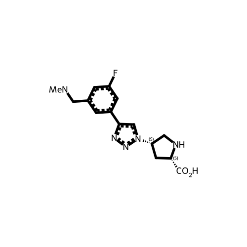 CNCc1cc(F)cc(-c2cn([C@@H]3CN[C@H](C(=O)O)C3)nn2)c1